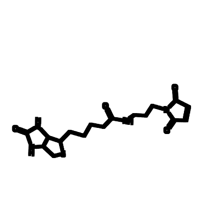 O=C(CCCCC1SCC2NC(=O)NC21)NCCCN1C(=O)C=CC1=O